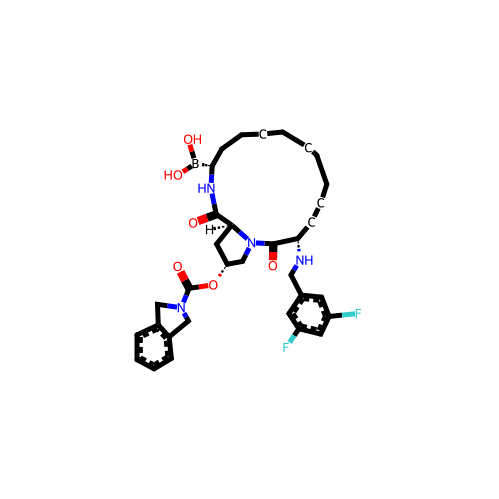 O=C1N[C@H](B(O)O)CCCCCCCCC[C@H](NCc2cc(F)cc(F)c2)C(=O)N2C[C@H](OC(=O)N3Cc4ccccc4C3)C[C@@H]12